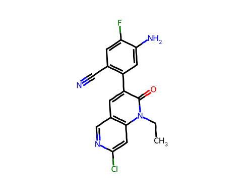 CCn1c(=O)c(-c2cc(N)c(F)cc2C#N)cc2cnc(Cl)cc21